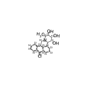 CC1[C@@H](O)[C@H](O)[C@H](O)CN1Cc1c2ccccc2c(Cl)c2ccccc12